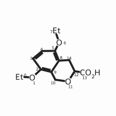 CCOc1ccc(OCC)c2c1COC(C(=O)O)C2